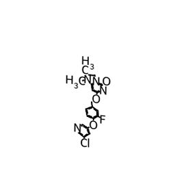 CC1Cn2c(cc(OCc3ccc(Oc4cncc(Cl)c4)c(F)c3)nc2=O)N1C